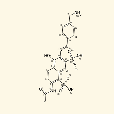 CC(=O)Nc1ccc2c(O)c(N=Nc3ccc(CN)cc3)c(S(=O)(=O)O)cc2c1S(=O)(=O)O